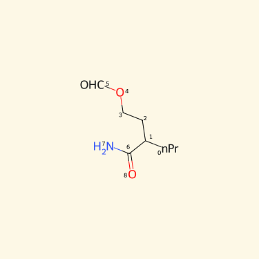 CCCC(CCOC=O)C(N)=O